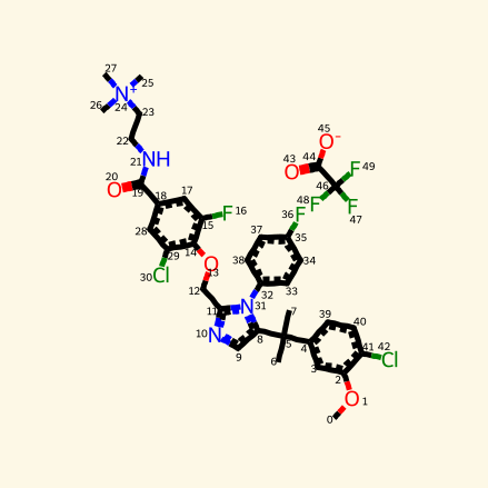 COc1cc(C(C)(C)c2cnc(COc3c(F)cc(C(=O)NCC[N+](C)(C)C)cc3Cl)n2-c2ccc(F)cc2)ccc1Cl.O=C([O-])C(F)(F)F